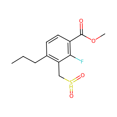 CCCc1ccc(C(=O)OC)c(F)c1C[SH](=O)=O